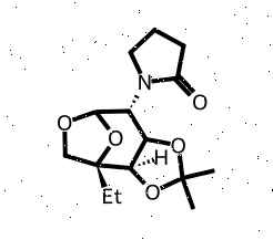 CC[C@@]12COC(O1)[C@H](N1CCCC1=O)C1OC(C)(C)O[C@H]12